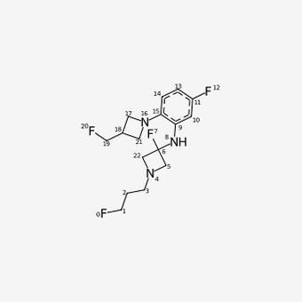 FCCCN1CC(F)(Nc2cc(F)ccc2N2CC(CF)C2)C1